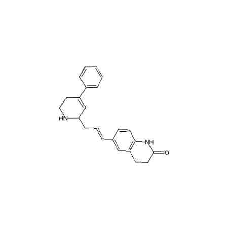 O=C1CCc2cc(/C=C/CC3C=C(c4ccccc4)CCN3)ccc2N1